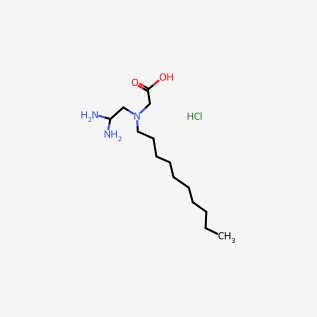 CCCCCCCCCCN(CC(=O)O)CC(N)N.Cl